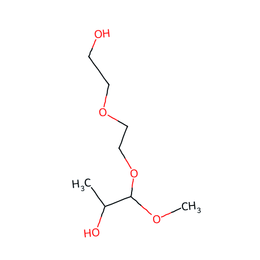 COC(OCCOCCO)C(C)O